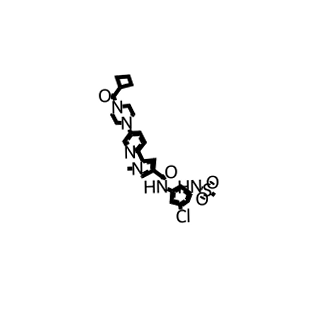 Cn1cc(C(=O)Nc2cc(Cl)cc(NS(C)(=O)=O)c2)cc1-c1ccc(N2CCN(C(=O)C3CCC3)CC2)cn1